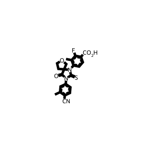 Cc1cc(N2C(=O)C3(CCOC3)N(c3ccc(C(=O)O)c(F)c3C)C2=S)ccc1C#N